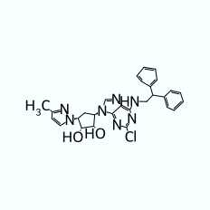 Cc1ccn([C@H]2C[C@@H](n3cnc4c(NCC(c5ccccc5)c5ccccc5)nc(Cl)nc43)[C@H](O)[C@@H]2O)n1